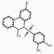 Cc1cc(S(=O)(=O)N2c3ccc(Br)cc3-c3ccccc3C2C)ccc1O